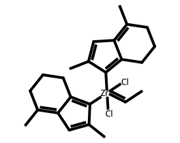 C[CH]=[Zr]([Cl])([Cl])([C]1=C2CCCC(C)=C2C=C1C)[C]1=C2CCCC(C)=C2C=C1C